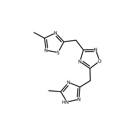 Cc1nsc(Cc2noc(Cc3n[nH]c(C)n3)n2)n1